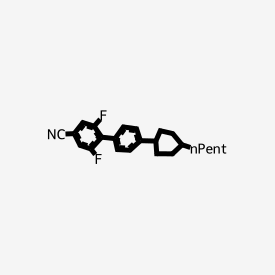 CCCCCC1CCC(c2ccc(-c3c(F)cc(C#N)cc3F)cc2)CC1